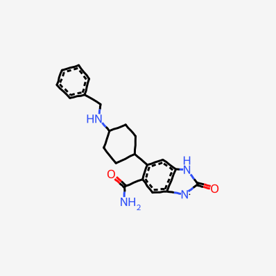 NC(=O)c1cc2c(cc1C1CCC(NCc3ccccc3)CC1)NC(=O)[N]2